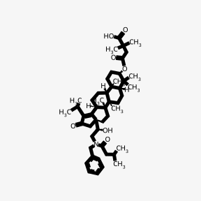 CC(C)CC(=O)N(Cc1ccccc1)C[C@H](O)[C@@]12CC[C@]3(C)[C@H](CC[C@@H]4[C@@]5(C)CC[C@@H](OC(=O)CC(C)(C)C(=O)O)C(C)(C)[C@@H]5CC[C@]43C)C1=C(C(C)C)C(=O)C2